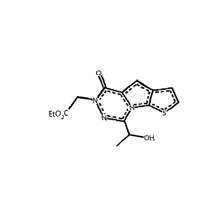 CCOC(=O)Cn1nc(C(C)O)n2c(cc3ccsc32)c1=O